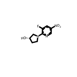 O=[N+]([O-])c1cnc(N2CC[C@H](O)C2)c(F)c1